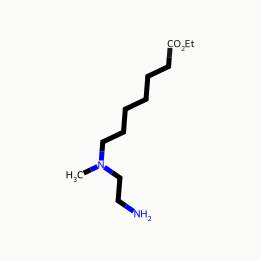 CCOC(=O)CCCCCCN(C)CCN